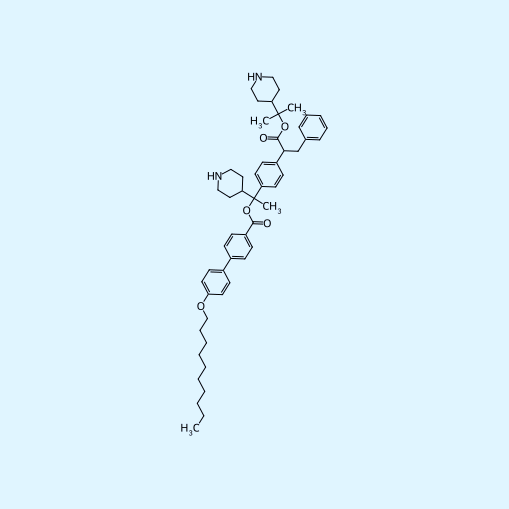 CCCCCCCCCCOc1ccc(-c2ccc(C(=O)OC(C)(c3ccc(C(Cc4ccccc4)C(=O)OC(C)(C)C4CCNCC4)cc3)C3CCNCC3)cc2)cc1